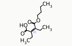 CCCCOC(=O)/C(CC)=C(/CC)C(=O)O